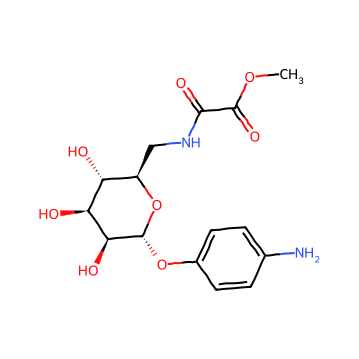 COC(=O)C(=O)NC[C@H]1O[C@H](Oc2ccc(N)cc2)[C@@H](O)[C@@H](O)[C@@H]1O